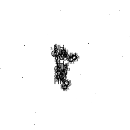 CN[C@@H](C)C(=O)N[C@H](C(=O)N1CCCC1C(=O)N[C@@H]1CCCc2ccccc21)C(C)OCC#CCOC(C)[C@H](NC(=O)[C@H](C)NC)C(=O)N1CCCC1C(=O)N[C@@H]1CCCc2ccccc21